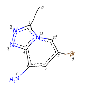 Cc1nnc2c(N)cc(Br)cn12